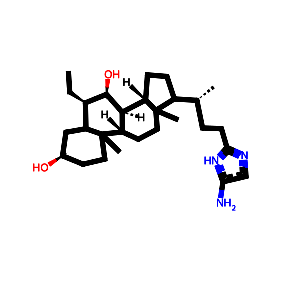 CC[C@@H]1C2C[C@H](O)CCC2(C)[C@H]2CCC3(C)C([C@H](C)CCc4ncc(N)[nH]4)CC[C@H]3[C@@H]2[C@@H]1O